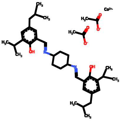 CC(=O)[O-].CC(=O)[O-].CC(C)Cc1cc(C=NC2CCC(N=Cc3cc(CC(C)C)cc(C(C)C)c3O)CC2)c(O)c(C(C)C)c1.[Co+2]